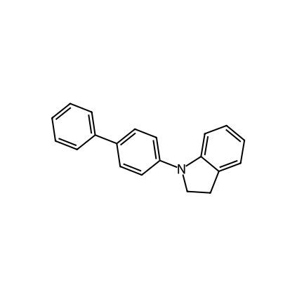 c1ccc(-c2ccc(N3CCc4ccccc43)cc2)cc1